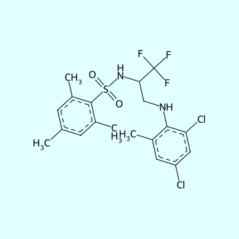 Cc1cc(C)c(S(=O)(=O)NC(CNc2c(C)cc(Cl)cc2Cl)C(F)(F)F)c(C)c1